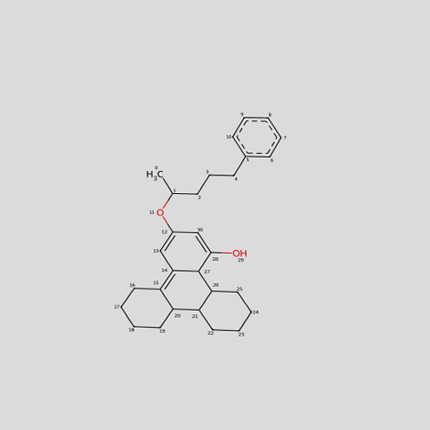 CC(CCCc1ccccc1)OC1=CC2=C3CCCCC3C3CCCCC3C2C(O)=C1